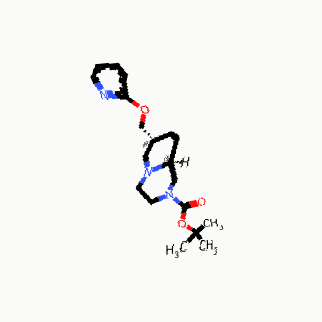 CC(C)(C)OC(=O)N1CCN2C[C@H](COc3ccccn3)CC[C@H]2C1